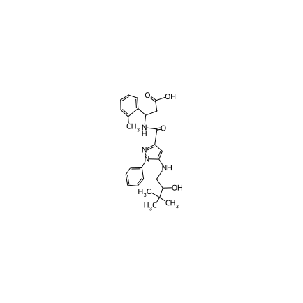 Cc1ccccc1C(CC(=O)O)NC(=O)c1cc(NCC(O)C(C)(C)C)n(-c2ccccc2)n1